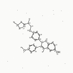 COc1ccc(C2=C(C)c3cc(O)ccc3OC2c2ccc(OCC(C)N3CCC(C)C3)cc2)cc1